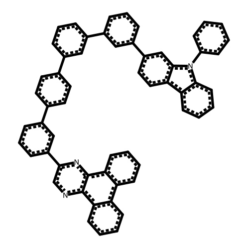 c1ccc(-n2c3ccccc3c3ccc(-c4cccc(-c5cccc(-c6ccc(-c7cccc(-c8cnc9c%10ccccc%10c%10ccccc%10c9n8)c7)cc6)c5)c4)cc32)cc1